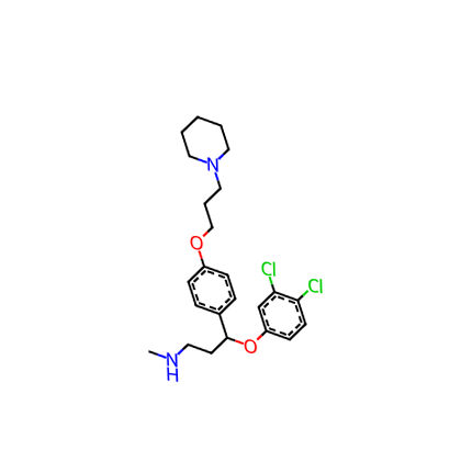 CNCCC(Oc1ccc(Cl)c(Cl)c1)c1ccc(OCCCN2CCCCC2)cc1